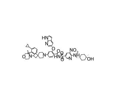 C[C@]1(c2ccccc2C2CC2)COCCN1C1CC2(CCN(c3ccc(C(=O)NS(=O)(=O)c4cnc(NC[C@H]5CC[C@](C)(O)CC5)c([N+](=O)[O-])c4)c(Oc4cnc5[nH]ccc5c4)c3)CC2)C1